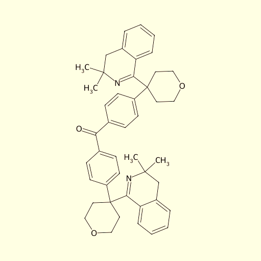 CC1(C)Cc2ccccc2C(C2(c3ccc(C(=O)c4ccc(C5(C6=NC(C)(C)Cc7ccccc76)CCOCC5)cc4)cc3)CCOCC2)=N1